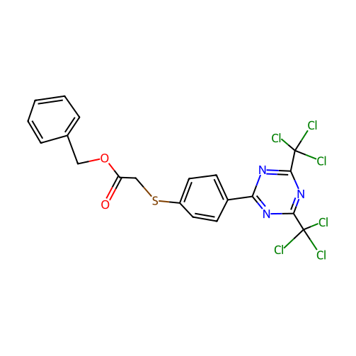 O=C(CSc1ccc(-c2nc(C(Cl)(Cl)Cl)nc(C(Cl)(Cl)Cl)n2)cc1)OCc1ccccc1